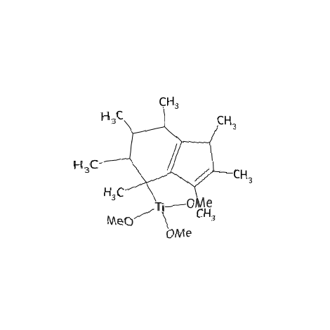 C[O][Ti]([O]C)([O]C)[C]1(C)C2=C(C(C)C(C)=C2C)C(C)C(C)C1C